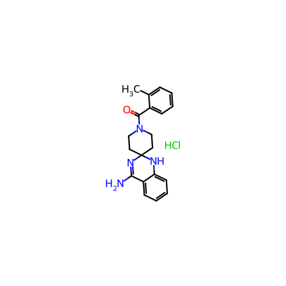 Cc1ccccc1C(=O)N1CCC2(CC1)N=C(N)c1ccccc1N2.Cl